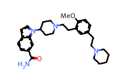 COc1ccc(CCN2CCCCC2)cc1CCN1CCC(n2ccc3ccc(C(N)=O)cc32)CC1